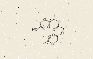 CC(=O)O[C@@H](C)C(=O)O[C@@H](C)C(=O)O[C@@H](C)C(=O)O[C@@H](C)C(=O)O